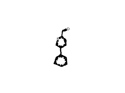 O=Cc1ccc(-c2ccccc2)cn1